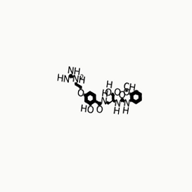 COc1ccccc1NC(=O)N[C@@H](CNC(=O)c1ccc(OCCNC(=N)N)cc1O)C(=O)O